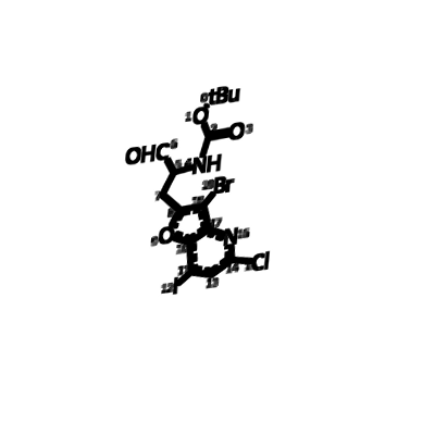 CC(C)(C)OC(=O)NC(C=O)Cc1oc2c(I)cc(Cl)nc2c1Br